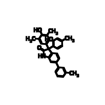 Cc1cccc(-c2ccc3c(c2)NC(=O)C3(c2cc(C)c(O)c(C)c2)c2ccc(C)cc2O)c1